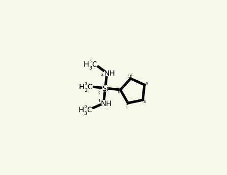 CN[Si](C)(NC)C1CCCC1